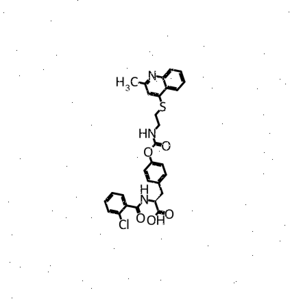 Cc1cc(SCCNC(=O)Oc2ccc(C[C@H](NC(=O)c3ccccc3Cl)C(=O)O)cc2)c2ccccc2n1